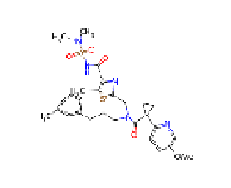 COc1ccc(C2(C(=O)N(CCCc3cccc(C)c3)Cc3nc(C(=O)NS(=O)(=O)N(C)C)c(C)s3)CC2)nc1